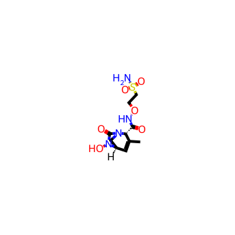 CC1=C[C@@H]2CN(C(=O)N2O)[C@@H]1C(=O)NOCCS(N)(=O)=O